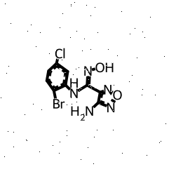 Nc1nonc1/C(=N\O)Nc1cc(Cl)ccc1Br